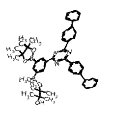 CB(OC(C)(C)C(C)(C)O)c1cc(B2OC(C)(C)C(C)(C)O2)cc(-c2nc(-c3ccc(-c4ccccc4)cc3)nc(-c3ccc(-c4ccccc4)cc3)n2)c1